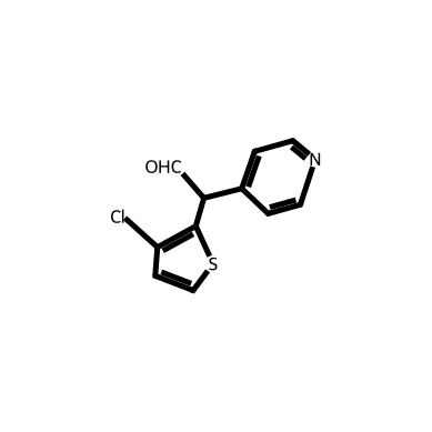 O=CC(c1ccncc1)c1sccc1Cl